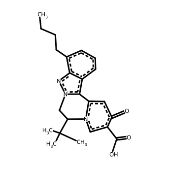 CCCCc1cccc2c3n(nc12)CC(C(C)(C)C)n1cc(C(=O)O)c(=O)cc1-3